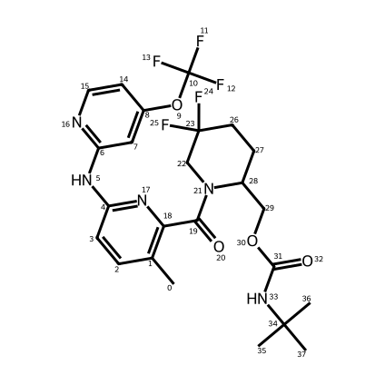 Cc1ccc(Nc2cc(OC(F)(F)F)ccn2)nc1C(=O)N1CC(F)(F)CCC1COC(=O)NC(C)(C)C